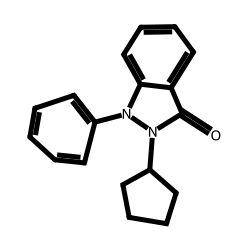 O=c1c2ccccc2n(-c2ccccc2)n1C1CCCC1